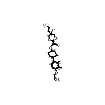 CCCC1(F)COC(C(=O)OC2CC=C(c3ccc(OCC)c(F)c3F)CC2)OC1